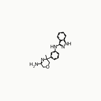 CC1(c2cccc(Nc3n[nH]c4ccccc34)c2)COCC(N)=N1